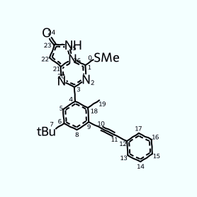 CSc1nc(-c2cc(C(C)(C)C)cc(C#Cc3ccccc3)c2C)nc2cc(=O)[nH]n12